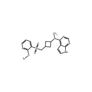 CCOc1ncccc1S(=O)(=O)CC1CC(N(C)c2ncnc3[nH]ccc23)C1